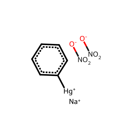 O=[N+]([O-])[O-].O=[N+]([O-])[O-].[Hg+][c]1ccccc1.[Na+]